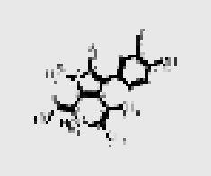 CC(C)=C(C)c1c(-c2ccc(O)c(F)c2)c(Cl)n(C)c1/C(N)=N/O